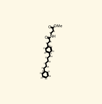 COC(=O)CCNC(=O)CCc1ccc(CCCCCCc2ccccc2)cc1